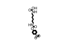 O=C(O)NCCCCCCNC(=O)Oc1ccc([N+](=O)[O-])cc1